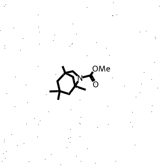 COC(=O)N1CC2(C)CC(C)(C)CC1(C)C2